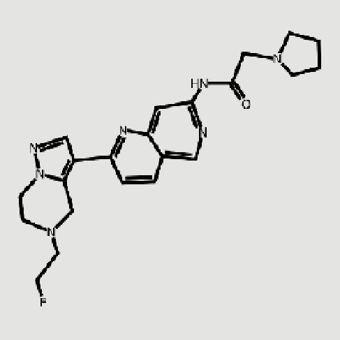 O=C(CN1CCCC1)Nc1cc2nc(-c3cnn4c3CN(CCF)CC4)ccc2cn1